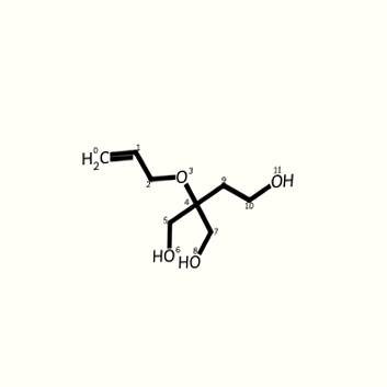 C=CCOC(CO)(CO)CCO